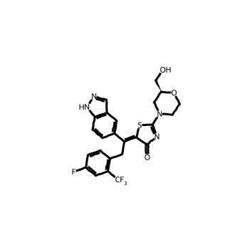 O=C1N=C(N2CCO[C@H](CO)C2)SC1=C(Cc1ccc(F)cc1C(F)(F)F)c1ccc2[nH]ncc2c1